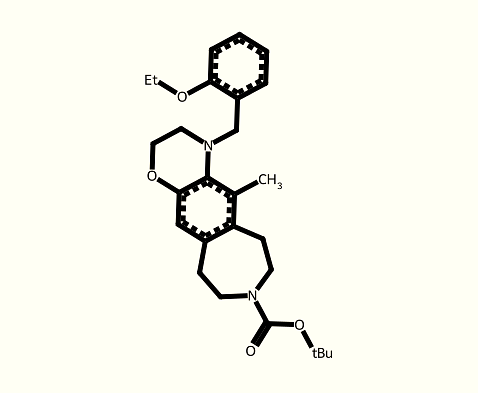 CCOc1ccccc1CN1CCOc2cc3c(c(C)c21)CCN(C(=O)OC(C)(C)C)CC3